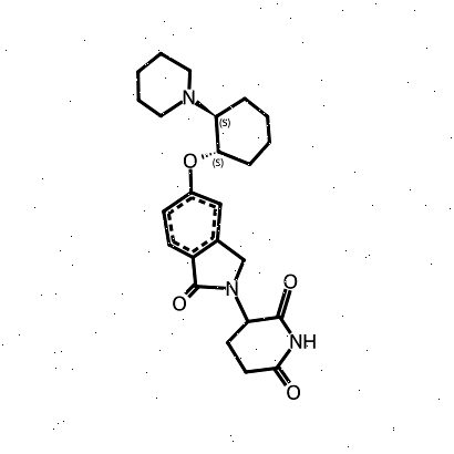 O=C1CCC(N2Cc3cc(O[C@H]4CCCC[C@@H]4N4CCCCC4)ccc3C2=O)C(=O)N1